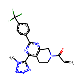 C=CC(=O)N1CCc2c(nc(-c3ccc(C(F)(F)F)cc3)nc2-c2nnnn2C)C1